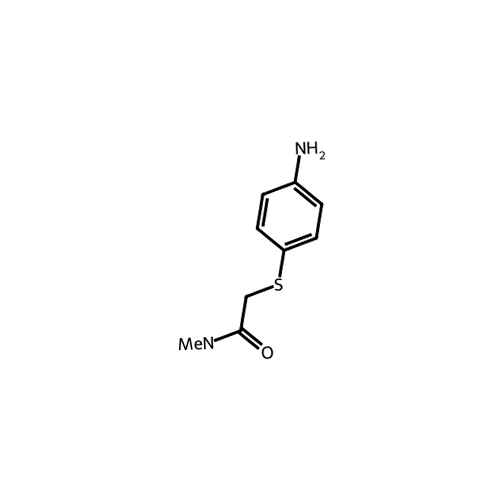 CNC(=O)CSc1ccc(N)cc1